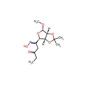 CCC(=O)C/C(=N\O)[C@H]1O[C@@H](OC)[C@@H]2OC(C)(C)O[C@@H]21